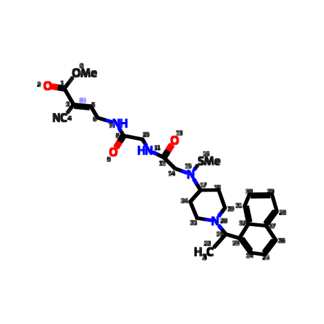 COC(=O)/C(C#N)=C/CNC(=O)CNC(=O)CN(SC)C1CCN(C(C)c2cccc3ccccc23)CC1